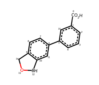 O=C(O)c1cccc(-c2ccc3c(c2)BOC3)c1